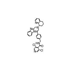 O=C(NCc1ccc(CCN(Cc2nc3ccccc3[nH]2)C2CCCc3cccnc32)cc1)c1c(Cl)cncc1Cl